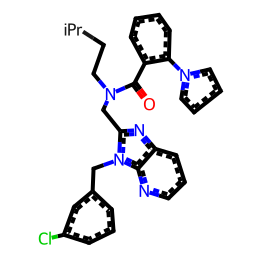 CC(C)CCN(Cc1nc2cccnc2n1Cc1cccc(Cl)c1)C(=O)c1ccccc1-n1cccc1